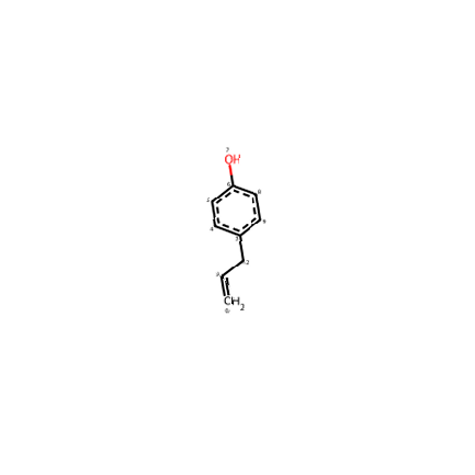 C=C[C]c1ccc(O)cc1